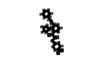 O=C(NSN1CCS(=O)(=O)CC1)c1cccc(C#Cc2ccccc2)c1-n1cccc1